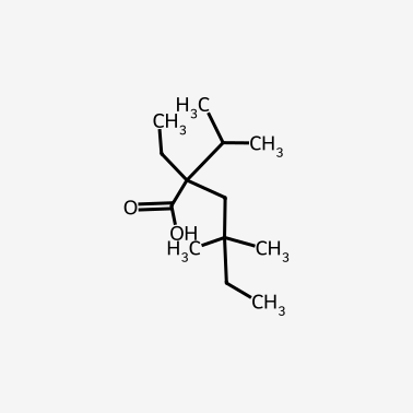 CCC(C)(C)CC(CC)(C(=O)O)C(C)C